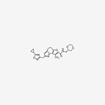 Cc1c(C(=O)NC[C@@H]2COCCO2)oc2c1-c1nn(Cc3noc(C4CC4)n3)cc1CC2